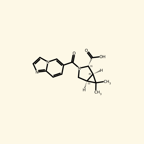 CC1(C)[C@@H]2[C@@H](C(=O)O)N(C(=O)c3ccc4nccn4c3)C[C@@H]21